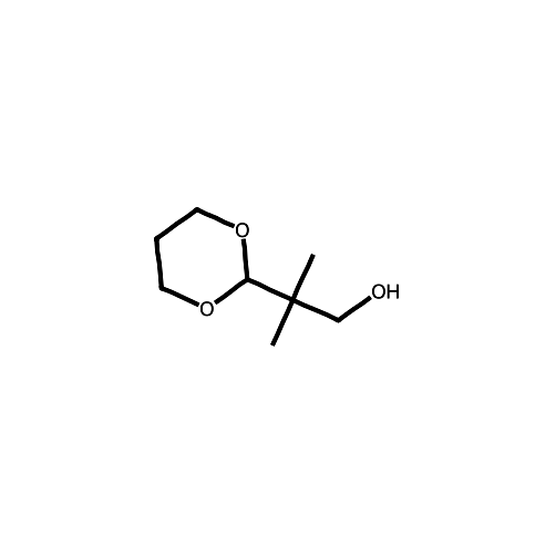 CC(C)(CO)C1OCCCO1